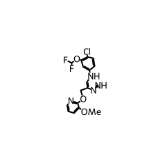 COc1cccnc1OC/C(=C/Nc1ccc(Cl)c(OC(F)F)c1)N=N